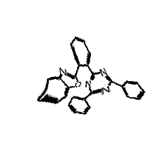 c1ccc(-c2nc(-c3ccccc3)nc(-c3ccccc3-c3nc4ccccc4o3)n2)cc1